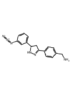 [N-]=[N+]=Nc1cccc(C2CC(c3ccc(CN)cc3)=NN2)c1